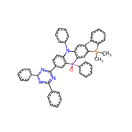 CS1(C)c2ccccc2-c2cc3c(cc21)P(=O)(c1ccccc1)c1cc(-c2nc(-c4ccccc4)nc(-c4ccccc4)n2)ccc1N3c1ccccc1